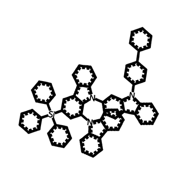 c1ccc(-c2ccc(-n3c4ccccc4c4ccc(-n5c6ccccc6c6cc([Si](c7ccccc7)(c7ccccc7)c7ccccc7)cc(-n7c8ccccc8c8ccccc87)c65)cc43)cc2)cc1